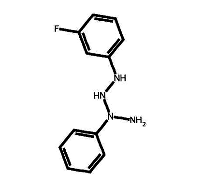 NN(NNc1cccc(F)c1)c1ccccc1